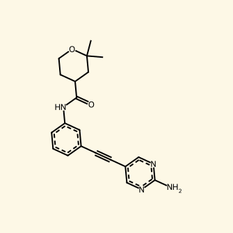 CC1(C)CC(C(=O)Nc2cccc(C#Cc3cnc(N)nc3)c2)CCO1